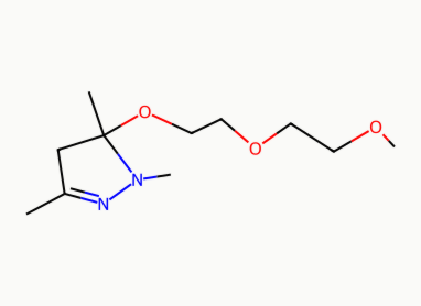 COCCOCCOC1(C)CC(C)=NN1C